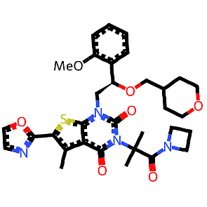 COc1ccccc1[C@H](Cn1c(=O)n(C(C)(C)C(=O)N2CCC2)c(=O)c2c(C)c(-c3ncco3)sc21)OCC1CCOCC1